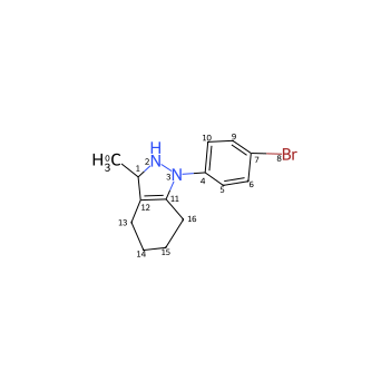 CC1NN(c2ccc(Br)cc2)C2=C1CCCC2